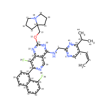 C/C=C\c1cnc(CNc2nc(OCC34CCCN3CCC4)nc3c(F)c(-c4cccc5cccc(F)c45)ncc23)nc1C(C)C